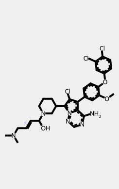 COc1cc(-c2c(Cl)c(C3CCCN(C(O)/C=C/CN(C)C)C3)n3ncnc(N)c23)ccc1Oc1ccc(Cl)c(Cl)c1